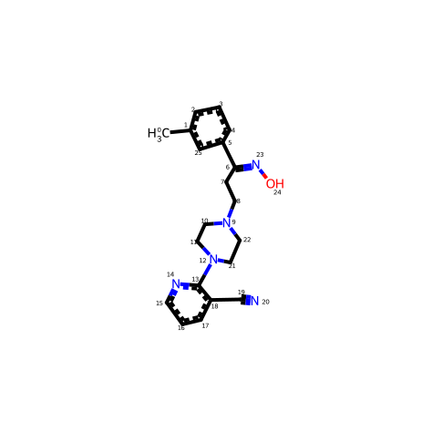 Cc1cccc(C(CCN2CCN(c3ncccc3C#N)CC2)=NO)c1